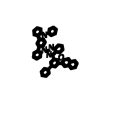 c1ccc(-c2cc(-c3nc(-n4c5ccccc5c5cc6c7ccccc7n(-c7ccccc7)c6cc54)nc4ccccc34)c3oc4cc5ccccc5cc4c3c2)cc1